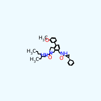 CCCCC(CC)CNC(=O)N1CCc2c(-c3cccc(OC)c3)ccc(CNC(=O)[C@@H]3C[C@H]3C3C=CC=CC3)c2C1